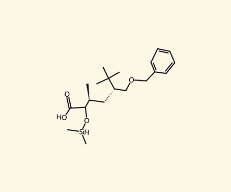 C[C@@H](C[C@@H](COCc1ccccc1)C(C)(C)C)C(O[SiH](C)C)C(=O)O